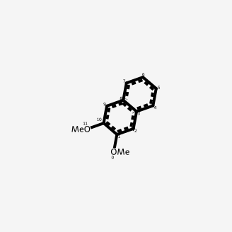 COc1[c]c2ccccc2cc1OC